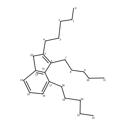 CCCCCC1=C(CCCCC)c2c(cccc2CCCCC)[CH]1